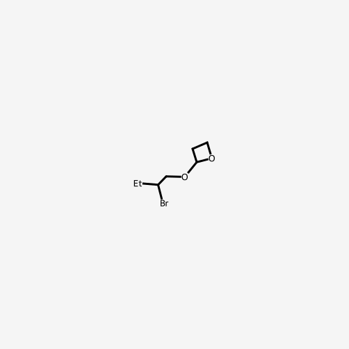 CCC(Br)COC1CCO1